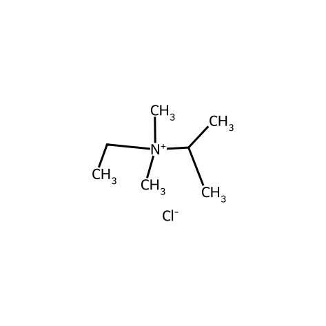 CC[N+](C)(C)C(C)C.[Cl-]